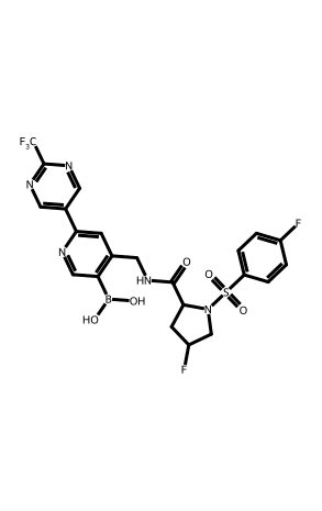 O=C(NCc1cc(-c2cnc(C(F)(F)F)nc2)ncc1B(O)O)C1CC(F)CN1S(=O)(=O)c1ccc(F)cc1